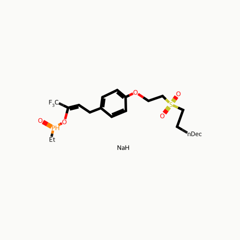 CCCCCCCCCCCCS(=O)(=O)CCOc1ccc(CC=C(O[PH](=O)CC)C(F)(F)F)cc1.[NaH]